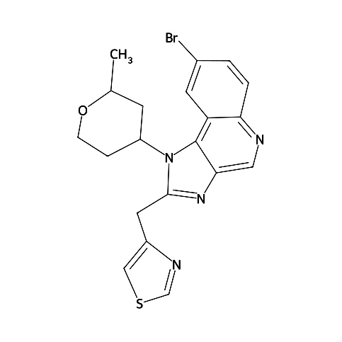 CC1CC(n2c(Cc3cscn3)nc3cnc4ccc(Br)cc4c32)CCO1